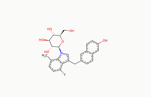 Cc1ccc(F)c2c(Cc3ccc4cc(O)ccc4c3)cn([C@@H]3O[C@H](CO)[C@@H](O)[C@H](O)[C@H]3O)c12